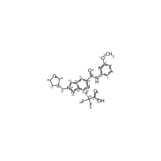 COc1cccc(NC(=O)c2cc3cn(CC4CCOC4)nc3cn2)n1.O=C(O)C(F)(F)F